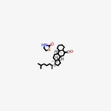 CC(C)CCCC(C)[C@H]1CC[C@H]2[C@@H]3CC(=C=O)C4CCCC[C@]4(C)[C@H]3CC[C@]12C.O=C1NCCS1